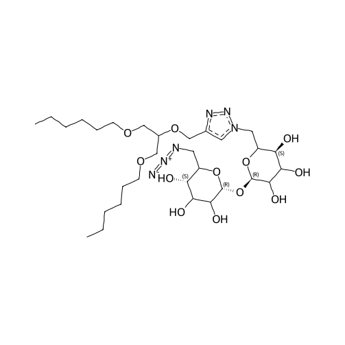 CCCCCCOCC(COCCCCCC)OCc1cn(CC2O[C@H](O[C@H]3OC(CN=[N+]=[N-])[C@@H](O)C(O)C3O)C(O)C(O)[C@@H]2O)nn1